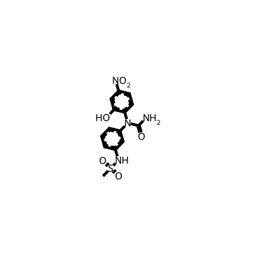 CS(=O)(=O)Nc1cccc(N(C(N)=O)c2ccc([N+](=O)[O-])cc2O)c1